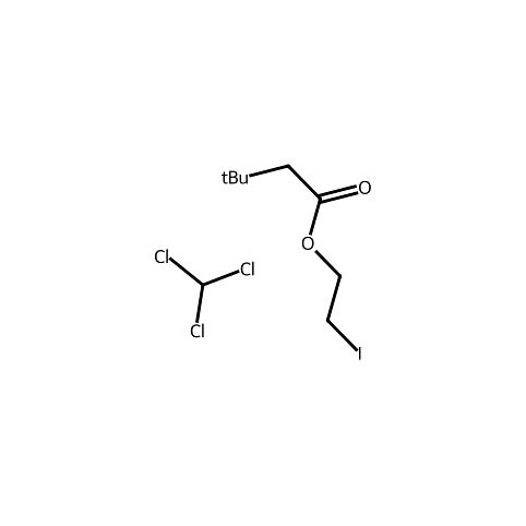 CC(C)(C)CC(=O)OCCI.ClC(Cl)Cl